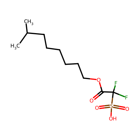 CC(C)CCCCCCOC(=O)C(F)(F)S(=O)(=O)O